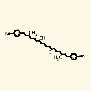 CC(/C=C/C=C(C)/C=C/c1ccc(C#N)cc1)=C\C=C\C=C(C)\C=C\C=C(C)\C=C\c1ccc(C#N)cc1